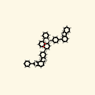 c1ccc(-c2nc3c(ccc4oc5cc(-c6ccc(N(c7ccc(-c8cccc9c8sc8ccccc89)cc7)c7ccccc7-c7ccccc7)cc6)ccc5c43)s2)cc1